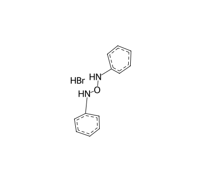 Br.c1ccc(NONc2ccccc2)cc1